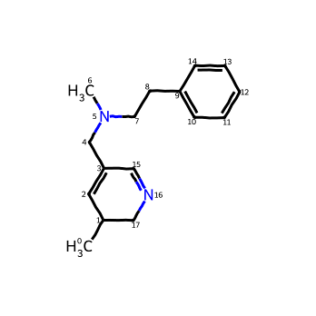 CC1C=C(CN(C)CCc2ccccc2)C=NC1